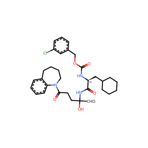 O=CC(O)(CCC(=O)N1CCCCc2ccccc21)NC(=O)[C@H](CC1CCCCC1)NC(=O)OCc1cccc(Cl)c1